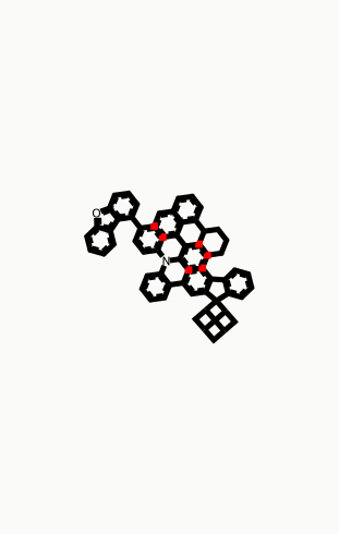 c1ccc(N(c2ccc(-c3cccc4oc5ccccc5c34)cc2)c2ccccc2-c2cccc3cccc(C4CCCCC4)c23)c(-c2ccc3c(c2)C2(c4ccccc4-3)C3CC4CC5CC2C453)c1